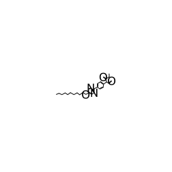 CCCCCCCCCCOc1cnc(-c2ccc(C(C=O)C(=O)CC)cc2)nc1